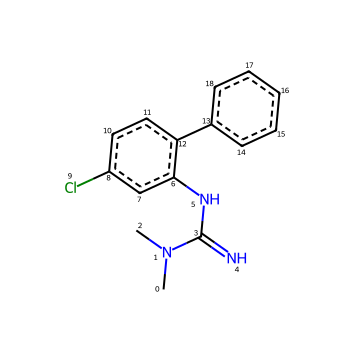 CN(C)C(=N)Nc1cc(Cl)ccc1-c1ccccc1